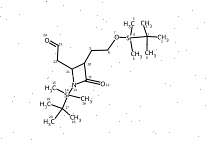 CC(C)(C)[Si](C)(C)OCCC1C(=O)N([Si](C)(C)C(C)(C)C)C1CC=O